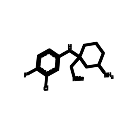 CNCC1(Nc2ccc(F)c(Cl)c2)CCCC(N)C1